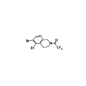 CCc1c(Br)ccc2c1CCN(C(=O)C(F)(F)F)C2